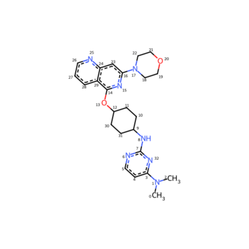 CN(C)c1ccnc(NC2CCC(Oc3nc(N4CCOCC4)cc4ncccc34)CC2)n1